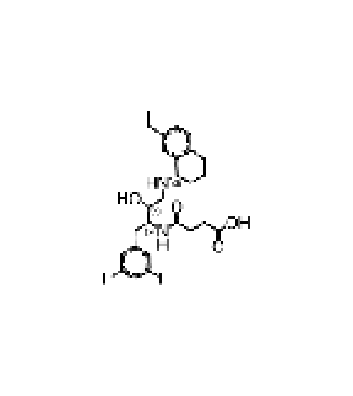 CCc1ccc2c(c1)[C@@H](NC[C@H](O)[C@H](Cc1cc(F)cc(F)c1)NC(=O)CCC(=O)O)CCC2